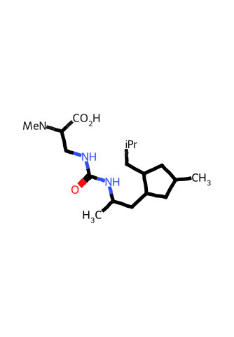 CNC(CNC(=O)NC(C)CC1CC(C)CC1CC(C)C)C(=O)O